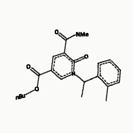 CCCCOC(=O)c1cc(C(=O)NC)c(=O)n(C(C)c2ccccc2C)c1